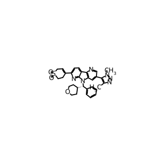 Cc1nnn(C)c1-c1cnc2c3ccc(C4=CCS(=O)(=O)CC4)nc3n([C@H](c3ccccc3)C3CCOCC3)c2c1